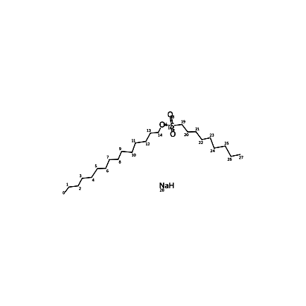 CCCCCCCCCCCCCCCOS(=O)(=O)CCCCCCCCC.[NaH]